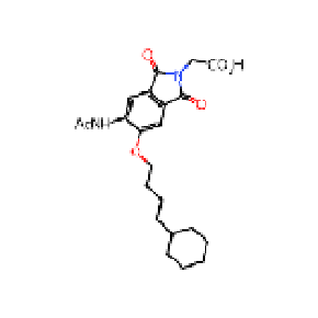 CC(=O)Nc1cc2c(cc1OCCCCC1CCCCC1)C(=O)N(CC(=O)O)C2=O